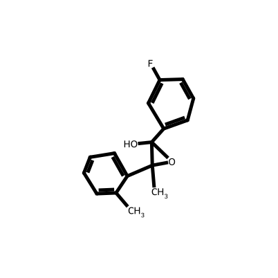 Cc1ccccc1C1(C)OC1(O)c1cccc(F)c1